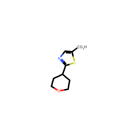 O=C(O)c1cnc(C2CCOCC2)s1